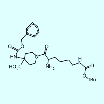 CC(C)(C)OC(=O)NCCCCC(N)C(=O)N1CCC(NC(=O)OCc2ccccc2)(C(=O)O)CC1